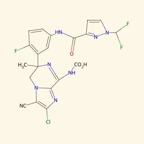 CC1(c2cc(NC(=O)c3ccn(C(F)F)n3)ccc2F)Cn2c(nc(Cl)c2C#N)C(NC(=O)O)=N1